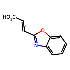 O=C(O)/C=C/c1nc2ccccc2o1